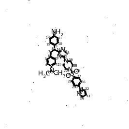 CN(C)c1ccc(CC(c2ccc(N)cc2)c2nsc(N3CCN(S(=O)(=O)c4ccc(-n5cccn5)cc4)CC3)n2)cc1